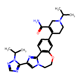 CC(C)N1CCC(c2ccc3c(c2)OCCn2cc(-c4ncnn4C(C)C)nc2-3)=C(C(N)=O)C1